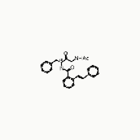 CC(=O)NCC(=O)[C@H](Cc1ccccc1)NC(=O)c1ccccc1C=Cc1ccccc1